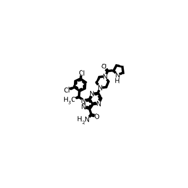 CC(c1ccc(Cl)cc1Cl)n1nc(C(N)=O)c2ncc(N3CCN(C(=O)C4CCCN4)CC3)nc21